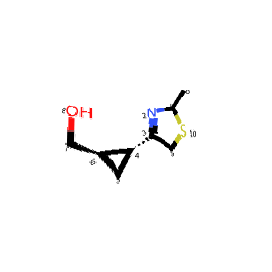 CC1N=C([C@@H]2C[C@H]2CO)CS1